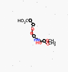 CC1(C)OCc2cc([C@@H](O)CNCCc3ccc(OCCOCc4cccc(-c5cccc(C(=O)O)c5)c4)cc3)ccc2O1